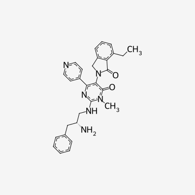 CCc1cccc2c1C(=O)N(c1c(-c3ccncc3)nc(NC[C@H](N)Cc3ccccc3)n(C)c1=O)C2